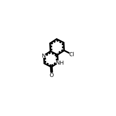 O=c1cnc2cccc(Cl)c2[nH]1